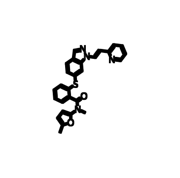 Cc1ccc(N(C)C(=O)c2ccccc2Sc2ccc3cnn(C=Cc4ccccn4)c3c2)o1